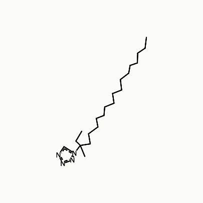 CCCCCCCCCCCCCCCCC(C)(CC)n1cnnn1